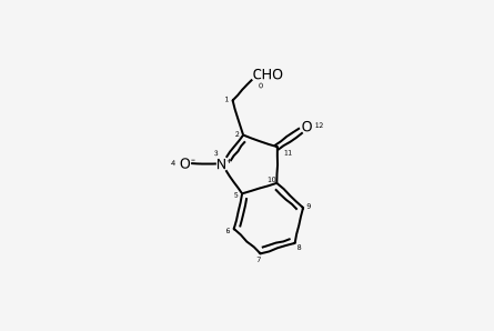 O=CCC1=[N+]([O-])c2ccccc2C1=O